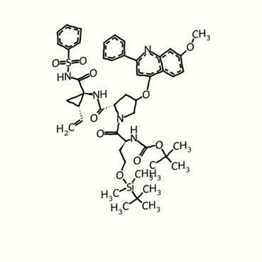 C=C[C@@H]1C[C@]1(NC(=O)[C@@H]1CC(Oc2cc(-c3ccccc3)nc3cc(OC)ccc23)CN1C(=O)[C@H](CCO[Si](C)(C)C(C)(C)C)NC(=O)OC(C)(C)C)C(=O)NS(=O)(=O)c1ccccc1